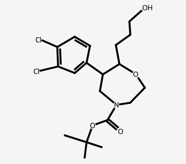 CC(C)(C)OC(=O)N1CCOC(CCCO)C(c2ccc(Cl)c(Cl)c2)C1